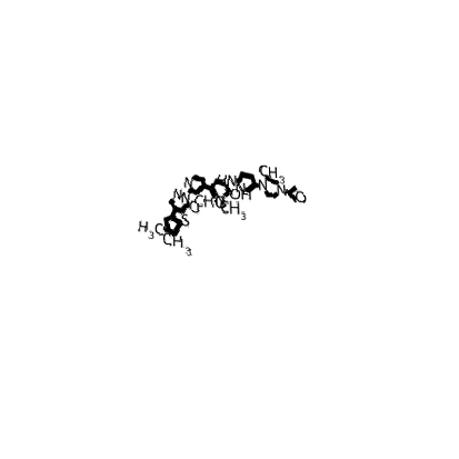 C[C@H]1CN(C2COC2)CCN1c1ccc(NC2=CC(c3ccnc(-n4ncc5c6c(sc5c4=O)CC(C)(C)C6)c3C=O)=CN(C)C2O)nc1